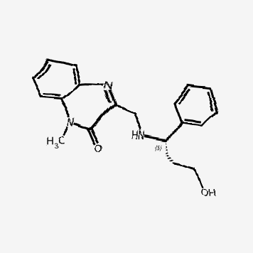 Cn1c(=O)c(CN[C@@H](CCO)c2ccccc2)nc2ccccc21